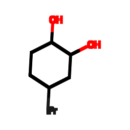 CC(C)C1CCC(O)C(O)C1